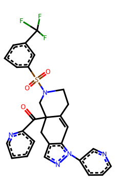 O=C(c1ccccn1)C12Cc3cnn(-c4cccnc4)c3C=C1CCN(S(=O)(=O)c1cccc(C(F)(F)F)c1)C2